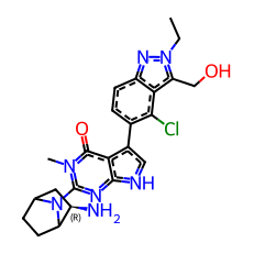 CCn1nc2ccc(-c3c[nH]c4nc(N5C6CCC5[C@H](N)C6)n(C)c(=O)c34)c(Cl)c2c1CO